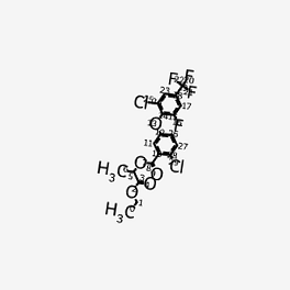 CCOC(=O)C(C)OC(=O)c1cc(Oc2c(F)cc(C(F)(F)F)cc2Cl)ccc1Cl